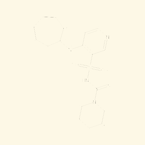 O=C(NS(=O)(=O)c1cnccc1NC1CCCCCC1)N1CCCCC1